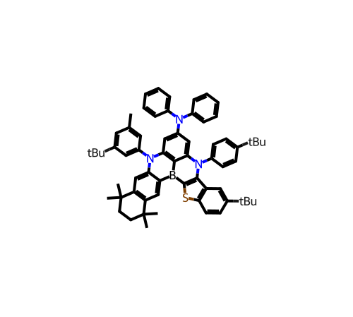 Cc1cc(N2c3cc4c(cc3B3c5sc6ccc(C(C)(C)C)cc6c5N(c5ccc(C(C)(C)C)cc5)c5cc(N(c6ccccc6)c6ccccc6)cc2c53)C(C)(C)CCC4(C)C)cc(C(C)(C)C)c1